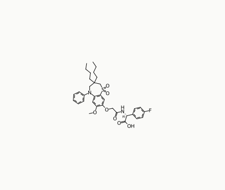 CCCCC1(CCCC)CN(c2ccccc2)c2cc(OC)c(OCC(=O)N[C@@H](C(=O)O)c3ccc(F)cc3)cc2S(=O)(=O)C1